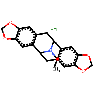 CCN1C2Cc3cc4c(cc3C1Cc1cc3c(cc12)OCO3)OCO4.Cl